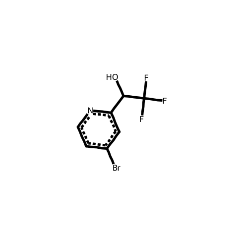 OC(c1cc(Br)ccn1)C(F)(F)F